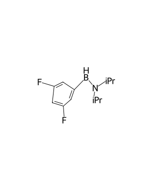 CC(C)N(Bc1cc(F)cc(F)c1)C(C)C